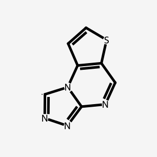 [c]1nnc2ncc3sccc3n12